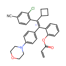 C=CC(=O)Oc1ccccc1/C(=C(/c1ccc(C#N)cc1Cl)C1CCC1)c1ccc(N2CCOCC2)cc1